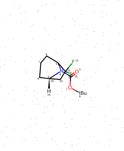 CC(C)(C)OC(=O)N1C2CCC[C@H]1CC2(F)F